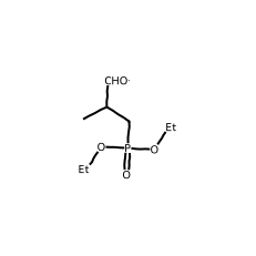 CCOP(=O)(CC(C)[C]=O)OCC